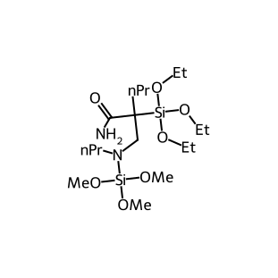 CCCN(CC(CCC)(C(N)=O)[Si](OCC)(OCC)OCC)[Si](OC)(OC)OC